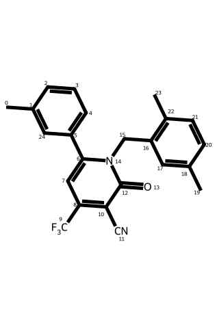 Cc1cccc(-c2cc(C(F)(F)F)c(C#N)c(=O)n2Cc2cc(C)ccc2C)c1